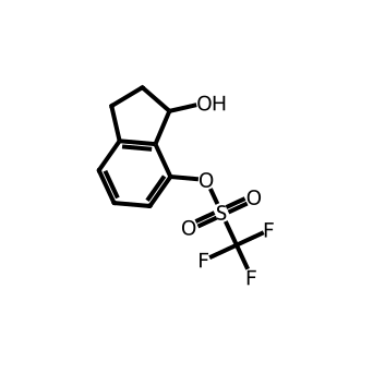 O=S(=O)(Oc1cccc2c1C(O)CC2)C(F)(F)F